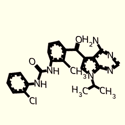 Cc1c(NC(=O)Nc2ccccc2Cl)cccc1C(=O)c1cn(C(C)C)c2ncnc(N)c12